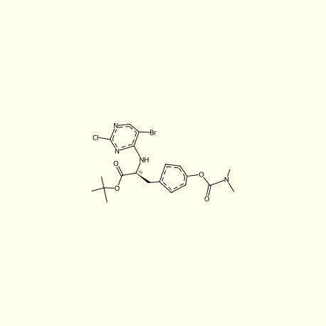 CN(C)C(=O)Oc1ccc(C[C@H](Nc2nc(Cl)ncc2Br)C(=O)OC(C)(C)C)cc1